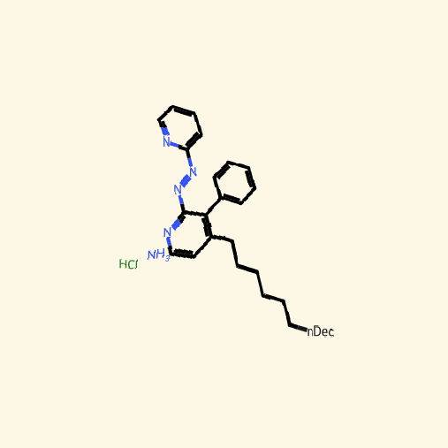 CCCCCCCCCCCCCCCCc1ccnc(N=Nc2ccccn2)c1-c1ccccc1.Cl.N